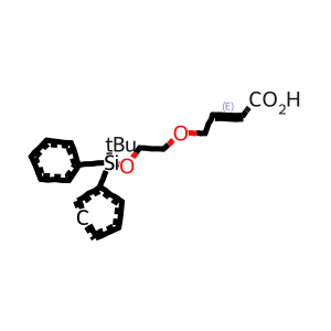 CC(C)(C)[Si](OCCOC/C=C/C(=O)O)(c1ccccc1)c1ccccc1